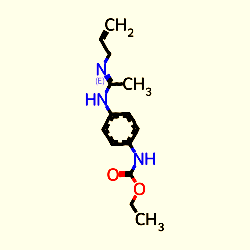 C=CC/N=C(\C)Nc1ccc(NC(=O)OCC)cc1